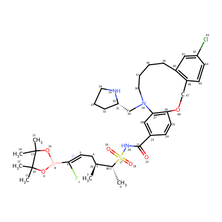 C[C@H]([C@@H](C)C/C=C(\F)B1OC(C)(C)C(C)(C)O1)S(=O)(=O)NC(=O)c1ccc2c(c1)N(C[C@@H]1CCCN1)CCCCc1cc(Cl)ccc1CO2